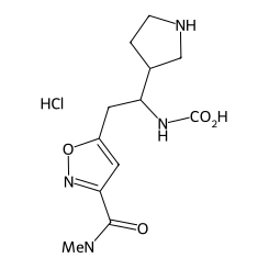 CNC(=O)c1cc(CC(NC(=O)O)C2CCNC2)on1.Cl